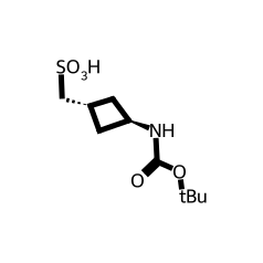 CC(C)(C)OC(=O)N[C@H]1C[C@H](CS(=O)(=O)O)C1